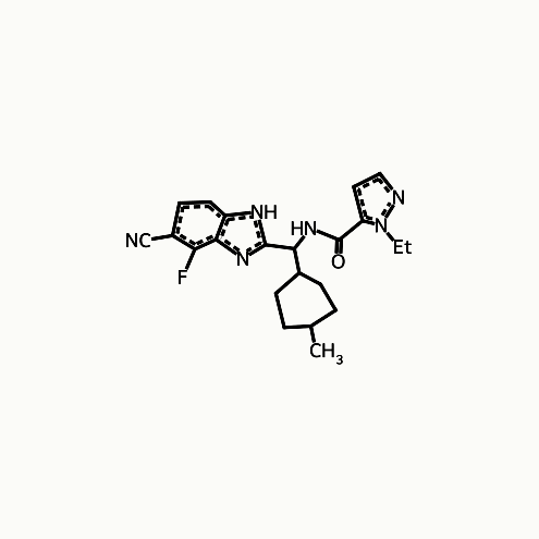 CCn1nccc1C(=O)NC(c1nc2c(F)c(C#N)ccc2[nH]1)C1CCC(C)CC1